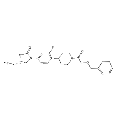 NC[C@H]1CN(c2ccc(C3CCN(C(=O)COCc4ccccc4)CC3)c(F)c2)C(=O)O1